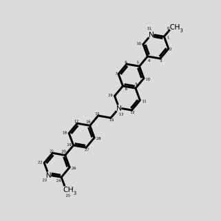 Cc1ccc(-c2ccc3c(c2)C=CN(CCc2ccc(-c4ccnc(C)c4)cc2)C3)cn1